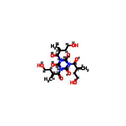 C=C(CCO)C(=O)n1c(=O)n(C(=O)C(=C)CCO)c(=O)n(C(=O)C(=C)CCO)c1=O